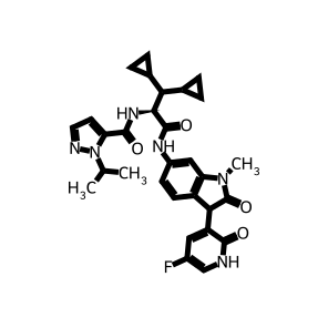 CC(C)n1nccc1C(=O)N[C@H](C(=O)Nc1ccc2c(c1)N(C)C(=O)C2c1cc(F)c[nH]c1=O)C(C1CC1)C1CC1